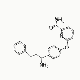 NC(=O)c1cccc(Oc2ccc(C(N)CCc3ccccc3)cc2)n1